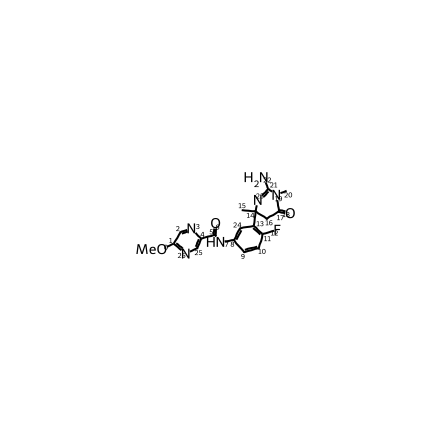 COc1cnc(C(=O)Nc2ccc(F)c(C3(C)CC(=O)N(C)C(N)=N3)c2)cn1